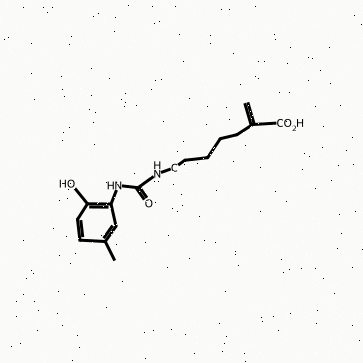 C=C(CCCCCNC(=O)Nc1cc(C)ccc1O)C(=O)O